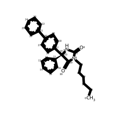 CCCCCCN1C(=O)N[C@@](c2ccccc2)(c2ccc(-c3ccccc3)cc2)C1=O